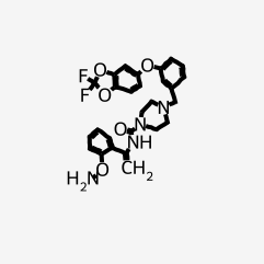 C=C(NC(=O)N1CCN(Cc2cccc(Oc3ccc4c(c3)OC(F)(F)O4)c2)CC1)c1ccccc1ON